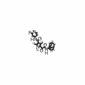 Cc1c(C(=O)Nc2ccnc(F)c2)c(C)n(C)c1C(=O)C(=O)NC1C2CC3CC(C2)CC1C3